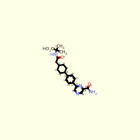 CC(C)(NC(=O)CC1CCC(c2ccc(-c3cncc(C(N)=O)n3)cc2)CC1)C(=O)O